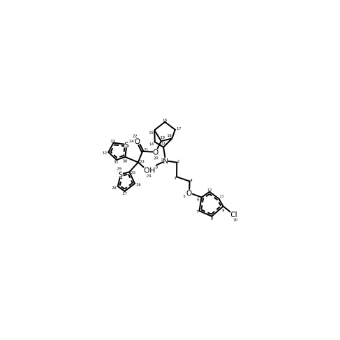 CN(CCCOc1ccc(Cl)cc1)C1CC2CCC1C2OC(=O)C(O)(c1cccs1)c1cccs1